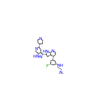 CN(C)CCNc1cc(F)cc(-c2ccnc3[nH]c(-c4n[nH]c5cnc(-c6ccncc6)cc45)cc23)c1